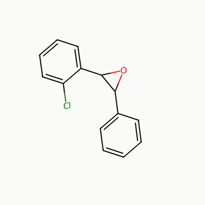 Clc1ccccc1C1OC1c1ccccc1